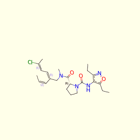 C\C=C/C(=C\C=C(/C)Cl)CN(C)C(=O)[C@H]1CCCN1C(=O)Nc1c(CC)noc1CC